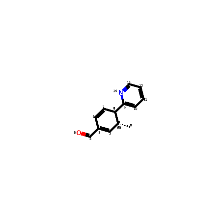 C[C@@H]1C=C(C=O)C=CC1c1ccccn1